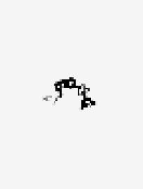 Cc1cc(-c2nc(-c3ccc4cc5n(c4c3)C(CC(=O)O)CC5)no2)cc(Cl)n1